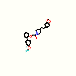 O=C(COc1ccccc1-c1ccc(OC(F)(F)F)cc1)N1CCC(CCc2ccc3c(c2)OCO3)CC1